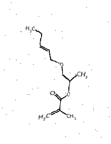 C=C(C)C(=O)OC(C)COCC=CCC